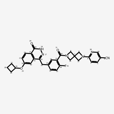 N#Cc1ccc(N2CC3(CN(C(=O)c4cc(Cc5n[nH]c(=O)c6ccc(OC7CCC7)cc56)ccc4F)C3)C2)nc1